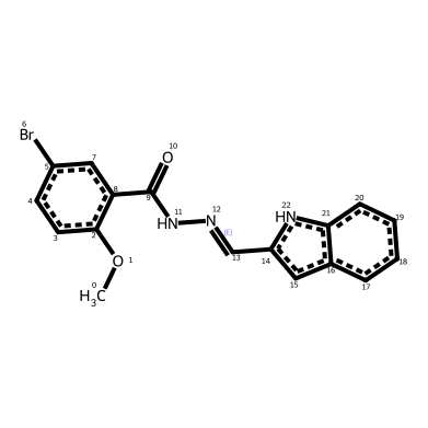 COc1ccc(Br)cc1C(=O)N/N=C/c1cc2ccccc2[nH]1